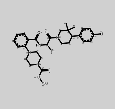 CC(C)[C@@H](NC(=O)c1ccccc1N1CCN(C(=O)OC(C)(C)C)CC1)C(=O)N1CCC(c2ccc(Cl)cc2)C(C)(C)C1